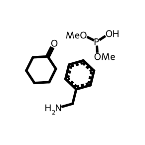 COP(O)OC.NCc1ccccc1.O=C1CCCCC1